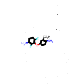 Nc1ccc(Oc2c(F)ccc(N)c2F)cc1C(=O)O